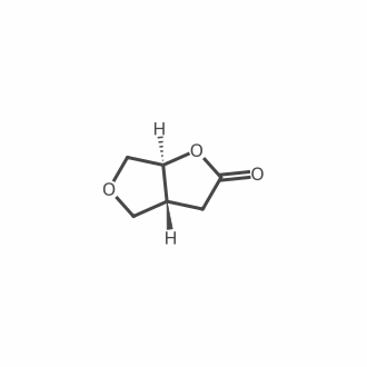 O=C1C[C@@H]2COC[C@H]2O1